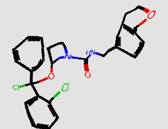 O=C(NCc1ccc2c(c1)CCO2)N1CCC1OC(Cl)(c1ccccc1)c1ccccc1Cl